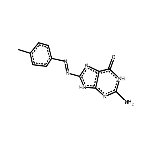 Cc1ccc(/N=N/c2nc3c(=O)[nH]c(N)nc3[nH]2)cc1